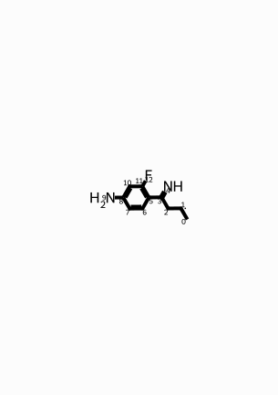 C[CH]CC(=N)c1ccc(N)cc1F